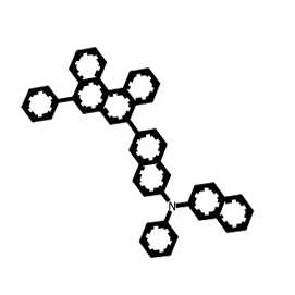 c1ccc(-c2cc3cc(-c4ccc5cc(N(c6ccccc6)c6ccc7ccccc7c6)ccc5c4)c4ccccc4c3c3ccccc23)cc1